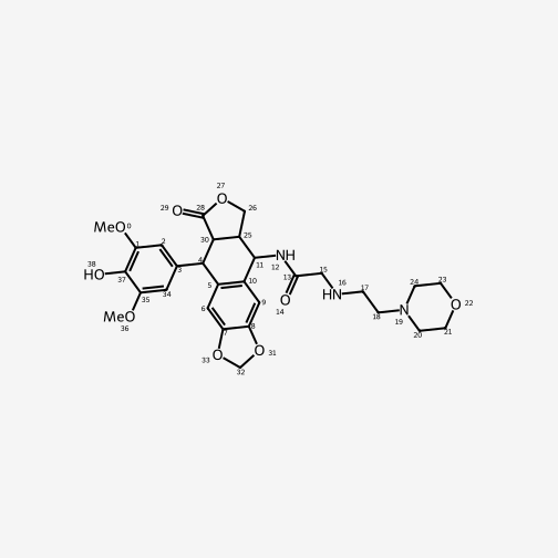 COc1cc(C2c3cc4c(cc3C(NC(=O)CNCCN3CCOCC3)C3COC(=O)C23)OCO4)cc(OC)c1O